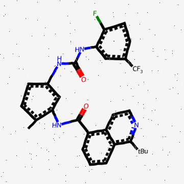 Cc1ccc(NC(=O)Nc2cc(C(F)(F)F)ccc2F)cc1NC(=O)c1cccc2c(C(C)(C)C)nccc12